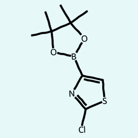 CC1(C)OB(c2csc(Cl)n2)OC1(C)C